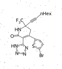 CCCCCCC#CC1(C(F)(F)F)CC(c2ccc(Br)s2)=C(c2nnn[nH]2)C(=O)N1